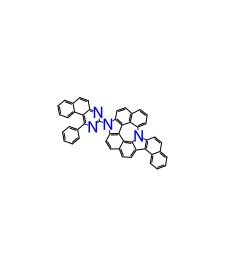 c1ccc(-c2nc(-n3c4ccc5cccc6c5c4c4c5c(ccc7c8c9ccccc9ccc8n6c75)ccc43)nc3ccc4ccccc4c23)cc1